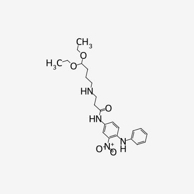 CCOC(CCCNCCC(=O)Nc1ccc(Nc2ccccc2)c([N+](=O)[O-])c1)OCC